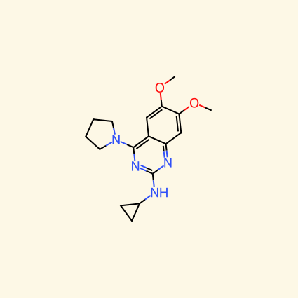 COc1cc2nc(NC3CC3)nc(N3CCCC3)c2cc1OC